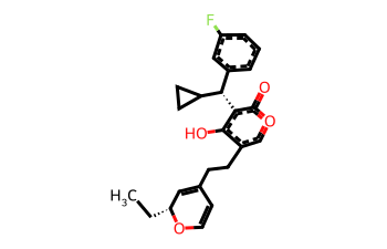 CC[C@@H]1C=C(CCc2coc(=O)c([C@@H](c3cccc(F)c3)C3CC3)c2O)C=CO1